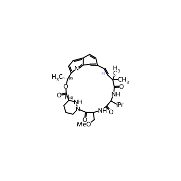 COCC1NC(=O)C(C(C)C)NC(=O)C(C)(C)/C=C/c2ccc3ccc(nc3c2)[C@@H](C)OC(=O)[C@@H]2CCCN(N2)C1=O